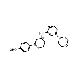 O=Cc1ccc(N2CCC[C@@H](Nc3cc(N4CCOCC4)ncn3)C2)cc1